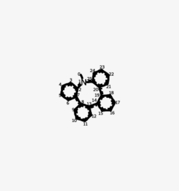 Cn1c2ccccc2c2ccccc2c2ccccc2c2ccccc21